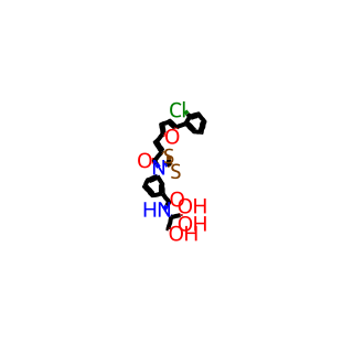 O=C(NC(CO)C(O)O)c1cccc(N2C(=O)C(=Cc3ccc(-c4ccccc4Cl)o3)SC2=S)c1